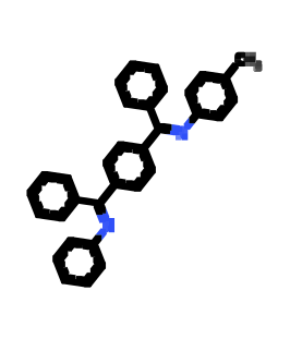 Cc1ccc(/N=C(\c2ccccc2)c2ccc(/C(=N/c3ccccc3)c3ccccc3)cc2)cc1